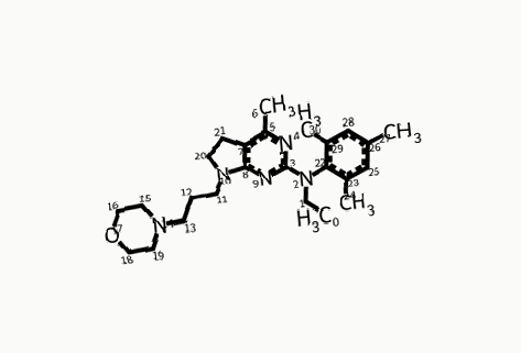 CCN(c1nc(C)c2c(n1)N(CCCN1CCOCC1)CC2)c1c(C)cc(C)cc1C